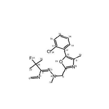 C=N/C(=N\N(C)Cc1nc(C)c(-c2ccccc2Cl)o1)C(C)(C)F